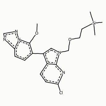 COc1c(-c2cn(COCC[Si](C)(C)C)c3nc(Cl)ccc23)ccc2ncnn12